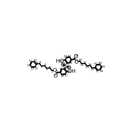 O=C(OCCCCCCc1ccccc1)c1ccc(O)c(S(=O)(=O)c2cc(C(=O)OCCCCCCc3ccccc3)ccc2O)c1